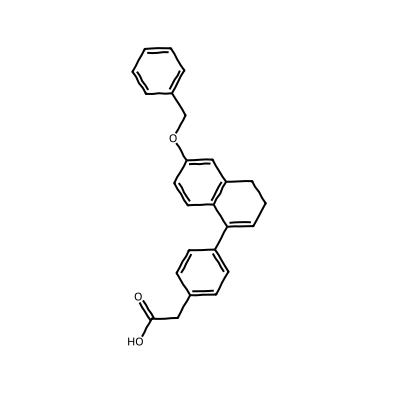 O=C(O)Cc1ccc(C2=CCCc3cc(OCc4ccccc4)ccc32)cc1